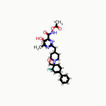 CC(=O)ONC(=O)c1nc(CC2CCN(C3(CO)C=CC(c4ccccc4)=CC3F)CC2)nc(C)c1O